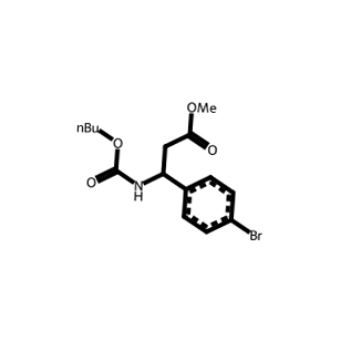 CCCCOC(=O)NC(CC(=O)OC)c1ccc(Br)cc1